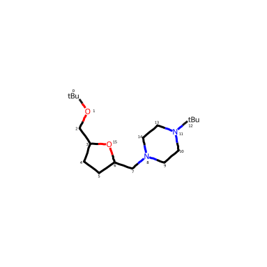 CC(C)(C)OCC1CCC(CN2CCN(C(C)(C)C)CC2)O1